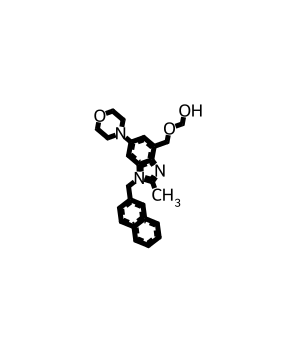 Cc1nc2c(COCO)cc(N3CCOCC3)cc2n1Cc1ccc2ccccc2c1